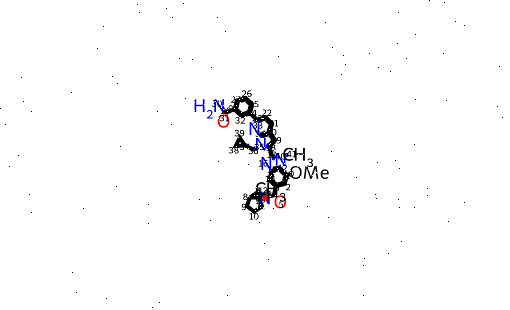 COc1cc(C(=O)N2CC3CCC2[C@@H]3C)cc2nc(-c3cc4ccc(-c5cccc(C(N)=O)c5)nc4n3CC3CC3)n(C)c12